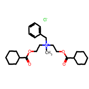 C[N+](CCOC(=O)C1CCCCC1)(CCOC(=O)C1CCCCC1)Cc1ccccc1.[Cl-]